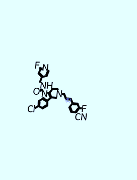 N#Cc1ccc(/C=C/CN2CCc3c(c4ccc(Cl)cc4n3C(=O)NCc3ccnc(F)c3)C2)cc1F